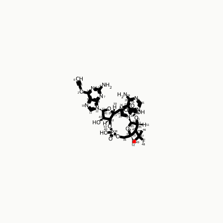 C#COc1nc(N)nc2c1ncn2[C@@H]1O[C@@H]2COP(=O)(O)O[C@H]3[C@H](n4cnc5c(N)ncnc54)O[C@H](COP(=O)(O)O[C@H]2[C@H]1O)[C@@]31CC1(F)F